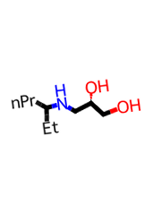 CCCC(CC)NC[C@H](O)CO